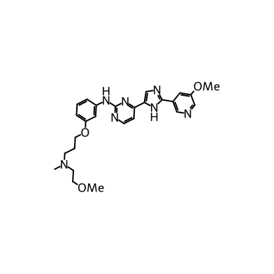 COCCN(C)CCCOc1cccc(Nc2nccc(-c3cnc(-c4cncc(OC)c4)[nH]3)n2)c1